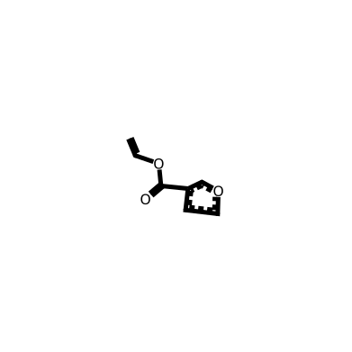 C=COC(=O)c1ccoc1